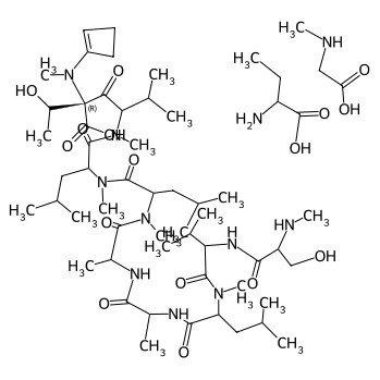 CCC(N)C(=O)O.CNC(CO)C(=O)NC(C(=O)N(C)C(CC(C)C)C(=O)NC(C)C(=O)NC(C)C(=O)N(C)C(CC(C)C)C(=O)N(C)C(CC(C)C)C(=O)N(C)C(C(=O)[C@@](C(=O)O)(C(C)O)N(C)C1=CCC1)C(C)C)C(C)C.CNCC(=O)O